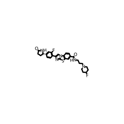 O=C1CC[C@@H](c2ccc(-c3cn4c(n3)sc3cc(C(=O)NCCCN5CCC(F)CC5)ccc34)c(F)c2)N1